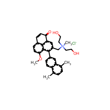 COc1ccc2c3c(cc(C[N+](C)(CCO)CCO)c(-c4ccc5c(C)ccc(C)c5c4)c13)C(=O)C=C2.[Cl-]